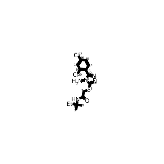 CCC(C)(C)NC(=O)CSc1nnc(-c2ccc(Cl)cc2Cl)n1N